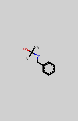 CC(C)(O)NCc1ccccc1